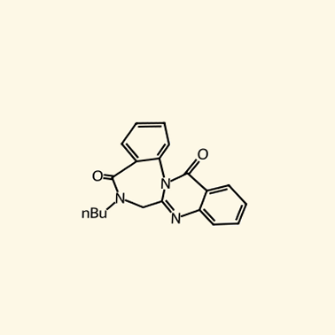 CCCCN1Cc2nc3ccccc3c(=O)n2-c2ccccc2C1=O